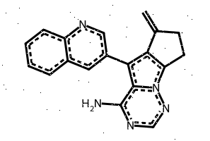 C=C1[CH]Cc2c1c(-c1cnc3ccccc3c1)c1c(N)ncnn21